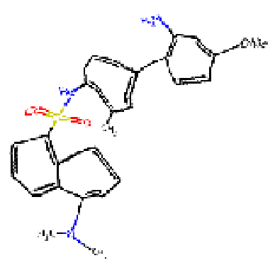 COc1ccc(-c2ccc(NS(=O)(=O)c3cccc4c(N(C)C)cccc34)c(C)c2)c(N)c1